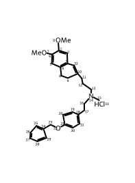 COc1cc2c(cc1OC)CCC(CCCN(C)CCc1ccc(OCc3ccccc3)cc1)=C2.Cl